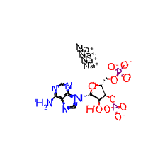 Nc1ncnc2c1ncn2[C@@H]1O[C@H](COP(=O)([O-])[O-])[C@@H](OP(=O)([O-])[O-])[C@H]1O.[Na+].[Na+].[Na+].[Na+]